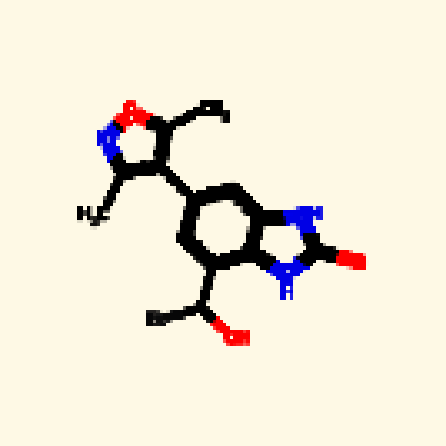 CCC(O)c1cc(-c2c(C)noc2C)cc2[nH]c(=O)[nH]c12